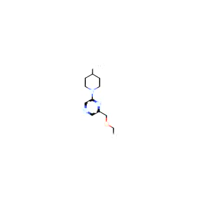 O=CC1CCN(c2cncc(COCC(F)(F)F)n2)CC1